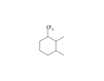 CC1CCCC(C(F)(F)F)C1C